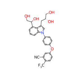 N#Cc1cc(Oc2ccc(-n3cc(C[C@@H](O)CO)c4c(C(O)CO)cccc43)cc2)ccc1C(F)(F)F